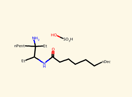 CCCCCCCCCCCCCCCC(=O)NC(CC)C(N)(CC)CCCCC.O=S(=O)(O)O